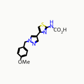 COc1ccc(Cn2cc(-c3csc(NC(=O)O)n3)cn2)cc1